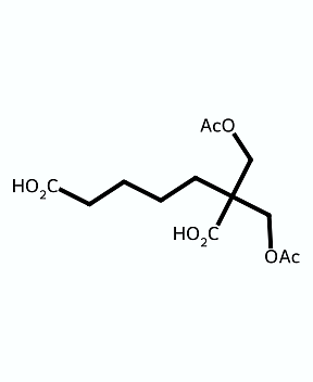 CC(=O)OCC(CCCCC(=O)O)(COC(C)=O)C(=O)O